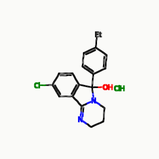 CCc1ccc(C2(O)c3ccc(Cl)cc3C3=NCCCN32)cc1.Cl